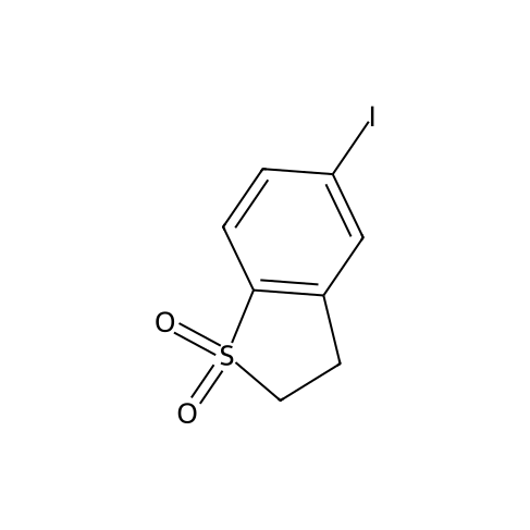 O=S1(=O)CCc2cc(I)ccc21